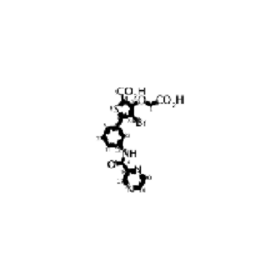 O=C(O)COc1c(C(=O)O)sc(-c2cccc(NC(=O)c3cnccn3)c2)c1Br